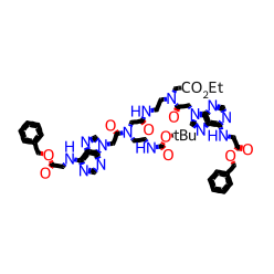 CCOC(=O)CN(CCNC(=O)CN(CCNC(=O)OC(C)(C)C)C(=O)Cn1cnc2c(NCC(=O)OCc3ccccc3)ncnc21)C(=O)Cn1cnc2c(NCC(=O)OCc3ccccc3)ncnc21